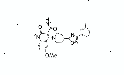 COc1ccc2c(c1)c(N1CCC(c3nc(-c4cccc(C)c4)no3)CC1)c(C(N)=O)c(=O)n2C